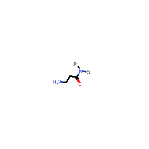 CCN(C(=O)CCN)C(C)C